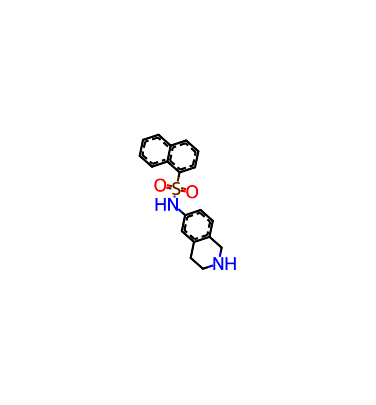 O=S(=O)(Nc1ccc2c(c1)CCNC2)c1cccc2ccccc12